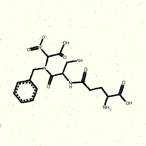 NC(CCC(=O)NC(CS)C(=O)N(Cc1ccccc1)C(C(=O)O)[N+](=O)[O-])C(=O)O